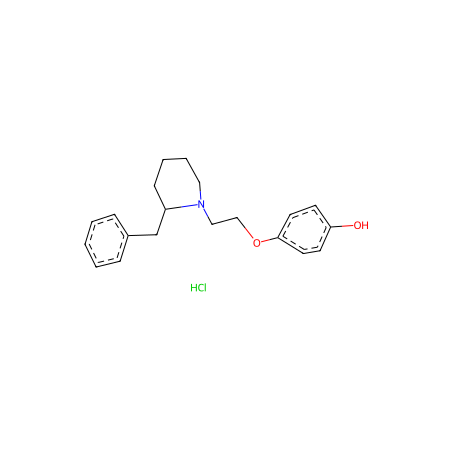 Cl.Oc1ccc(OCCN2CCCCC2Cc2ccccc2)cc1